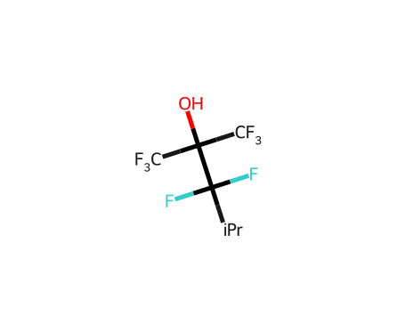 CC(C)C(F)(F)C(O)(C(F)(F)F)C(F)(F)F